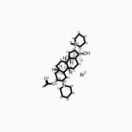 CC(=O)O[C@H]1C[C@@H]2CC[C@@H]3[C@H](CC[C@]4(C)[C@H](O)[C@@H]([N+]5(C)CCCCC5)C[C@@H]34)[C@@]2(C)C[C@@H]1N1CCCCC1.[Br-]